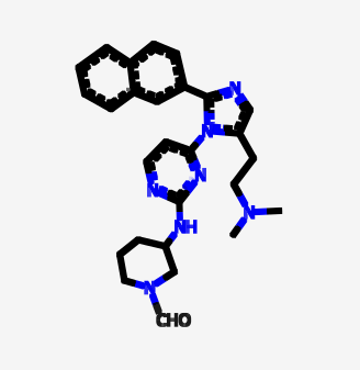 CN(C)CCc1cnc(-c2ccc3ccccc3c2)n1-c1ccnc(NC2CCCN(C=O)C2)n1